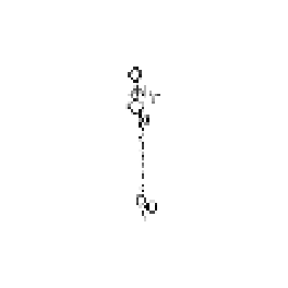 C=CC(=O)OCCCCCCCCCCCCOc1ccc2cc(-c3ccccc3)n(CC(C)C)c2c1